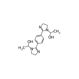 CC(O)N1CCN=C1c1ccc(C2=NCCN2C(C)O)cc1